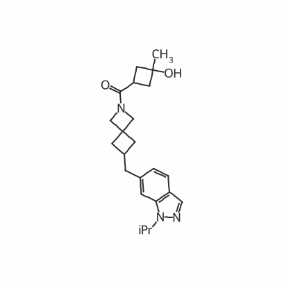 CC(C)n1ncc2ccc(CC3CC4(C3)CN(C(=O)C3CC(C)(O)C3)C4)cc21